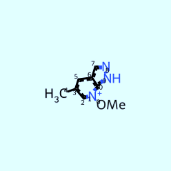 CO[n+]1cc(C)cc2cn[nH]c21